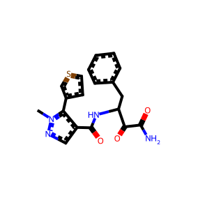 Cn1ncc(C(=O)NC(Cc2ccccc2)C(=O)C(N)=O)c1-c1ccsc1